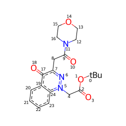 CC(C)(C)OC(=O)Cn1nc(CC(=O)N2CCOCC2)c(=O)c2ccccc21